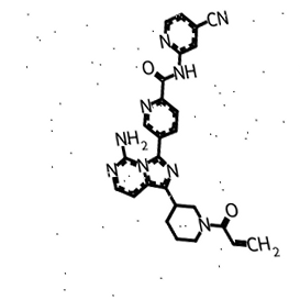 C=CC(=O)N1CCCC(c2nc(-c3ccc(C(=O)Nc4cc(C#N)ccn4)nc3)n3c(N)nccc23)C1